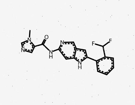 Cn1cncc1C(=O)Nc1cc2[nH]c(-c3ccccc3C(F)F)cc2cn1